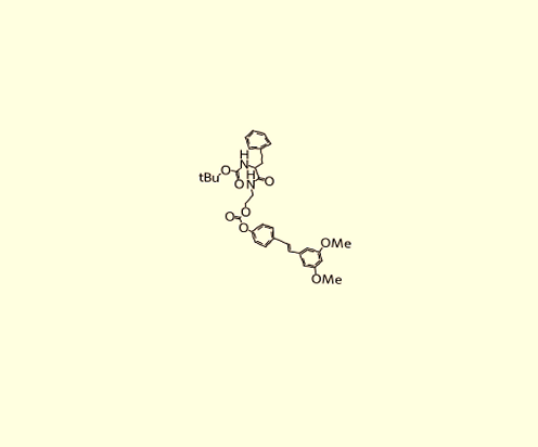 COc1cc(C=Cc2ccc(OC(=O)OCCNC(=O)C(Cc3ccccc3)NC(=O)OC(C)(C)C)cc2)cc(OC)c1